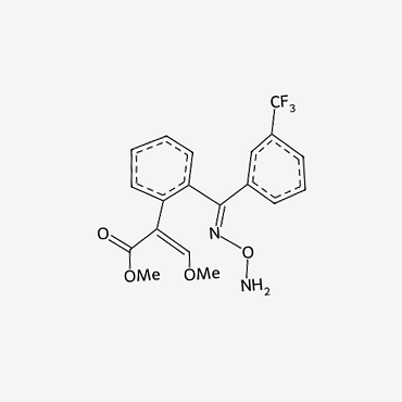 COC=C(C(=O)OC)c1ccccc1C(=NON)c1cccc(C(F)(F)F)c1